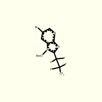 COn1c(C(F)(F)C(F)(F)C(F)(F)F)nc2ncc(Br)cc21